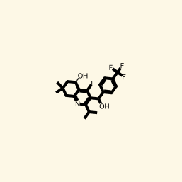 CC(C)c1nc2c(c(I)c1C(O)c1ccc(C(F)(F)F)cc1)[C@@H](O)CC(C)(C)C2